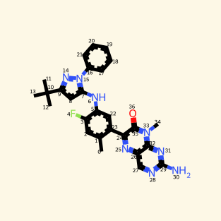 Cc1cc(F)c(Nc2cc(C(C)(C)C)nn2-c2ccccc2)cc1-c1nc2cnc(N)nc2n(C)c1=O